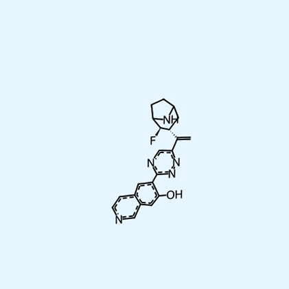 C=C(c1cnc(-c2cc3ccncc3cc2O)nn1)[C@H]1CC2CCC(N2)[C@@H]1F